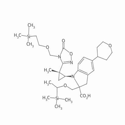 CC(OCC1(C(=O)O)Cc2cc(C3CCOCC3)ccc2N1[C@H]1C[C@]1(C)c1noc(=O)n1COCC[Si](C)(C)C)[Si](C)(C)C